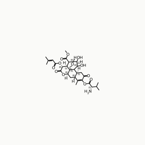 COC(=O)C1[C@H]2OC[C@]34C([C@@H](O)[C@@H]2O)[C@@]2(C)CC(=O)C(OC(=O)[C@@H](N)C(C)C)=C(C)[C@@H]2C[C@H]3OC(=O)[C@H](OC(=O)C=C(C)C)[C@@H]14